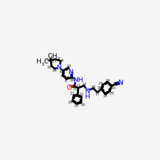 CC1(C)CCN(c2ccc(NC(=O)C(CNCCc3ccc(C#N)cc3)c3ccccc3)nc2)CC1